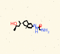 C#C[C@@H](O)CC(C)[C@@H]1CCC2=C/C(=N/NC(=O)CN)C=C[C@]2(C)C1